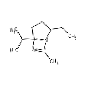 CCC1CCC2(C(C)C)C=C(C)N12